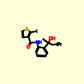 CC(C)CC(C)(O)c1ccccc1NC(=O)c1ccsc1I